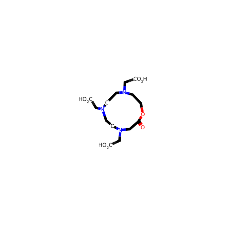 O=C(O)CN1CCOC(=O)CN(CC(=O)O)CCN(CC(=O)O)CC1